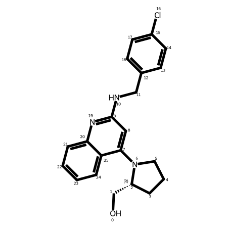 OC[C@H]1CCCN1c1cc(NCc2ccc(Cl)cc2)nc2ccccc12